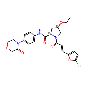 CCO[C@@H]1C[C@H](C(=O)Nc2ccc(N3CCOCC3=O)cc2)N(C(=O)C=Cc2ccc(Cl)o2)C1